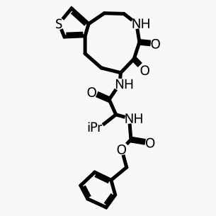 CC(C)C(NC(=O)OCc1ccccc1)C(=O)NC1CCc2cscc2CCNC(=O)C1=O